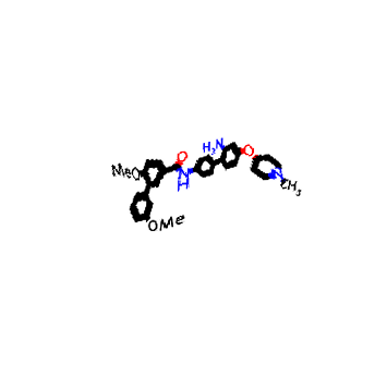 COc1cccc(-c2cc(C(=O)Nc3ccc(-c4ccc(OC5CCN(C)CC5)cc4N)cc3)ccc2OC)c1